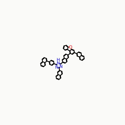 c1ccc2cc(C3=NC(c4ccc5cc(-c6cc(-c7ccc8ccccc8c7)cc7oc8ccccc8c67)ccc5c4)NC(c4ccc(-c5cccc6ccccc56)cc4)=N3)ccc2c1